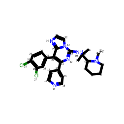 CC(C)N1CCCCC1C(C)(C)Nc1nc(-c2ccncc2)c(-c2ccc(Cl)c(Cl)c2)c2nccn12